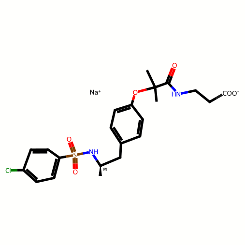 C[C@H](Cc1ccc(OC(C)(C)C(=O)NCCC(=O)[O-])cc1)NS(=O)(=O)c1ccc(Cl)cc1.[Na+]